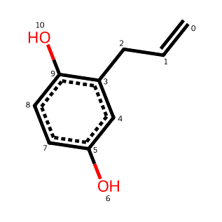 C=CCc1cc(O)ccc1O